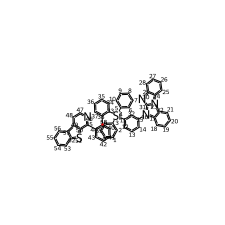 c1ccc([Si](c2ccccc2)(c2cccc(-n3c4ccccc4n4c5ccccc5nc34)c2)c2ccccc2-c2ccccc2-c2nccc3c2sc2ccccc23)cc1